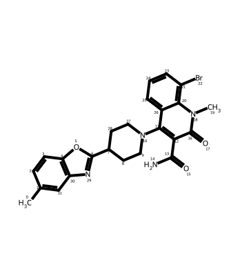 Cc1ccc2oc(C3CCN(c4c(C(N)=O)c(=O)n(C)c5c(Br)cccc45)CC3)nc2c1